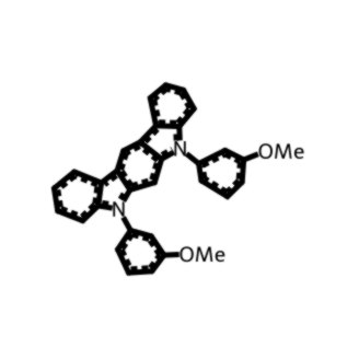 COc1cccc(-n2c3ccccc3c3cc4c5ccccc5n(-c5cccc(OC)c5)c4cc32)c1